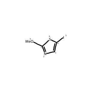 COc1ncc(I)s1